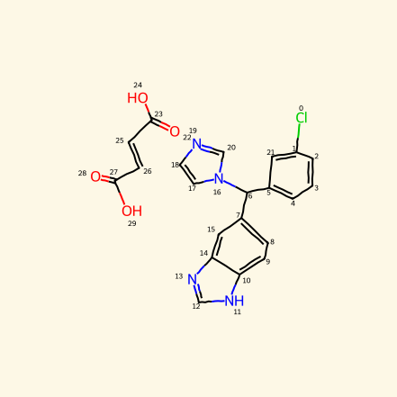 Clc1cccc(C(c2ccc3[nH]cnc3c2)n2ccnc2)c1.O=C(O)C=CC(=O)O